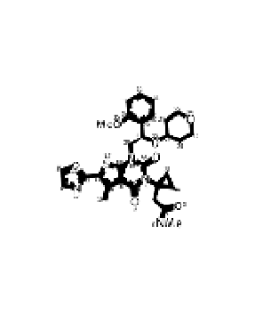 CNC(=O)CC1(n2c(=O)c3c(C)c(-c4ncco4)sc3n(C[C@H](OC3CCOCC3)c3ccccc3OC)c2=O)CC1